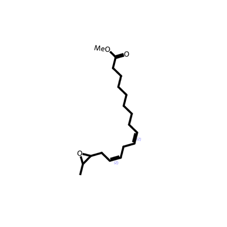 COC(=O)CCCCCCC/C=C\C/C=C\CC1OC1C